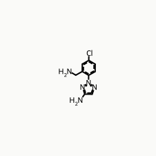 NCc1cc(Cl)ccc1-n1ncc(N)n1